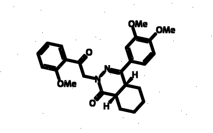 COc1ccc(C2=NN(CC(=O)c3ccccc3OC)C(=O)[C@H]3CCCC[C@@H]23)cc1OC